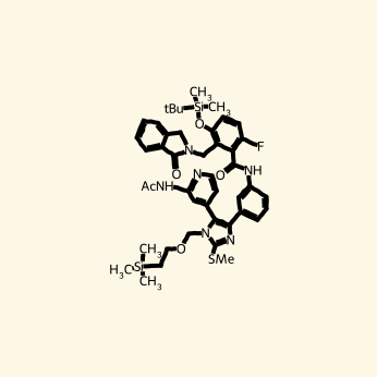 CSc1nc(-c2cccc(NC(=O)c3c(F)ccc(O[Si](C)(C)C(C)(C)C)c3CN3Cc4ccccc4C3=O)c2)c(-c2ccnc(NC(C)=O)c2)n1COCC[Si](C)(C)C